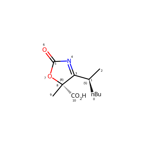 CCCC[C@H](C)C1=NC(=O)O[C@@]1(C)C(=O)O